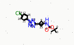 CC(C)(C)OC(=O)NC12CC(c3nnn(-c4ccc(Cl)cc4)n3)(C1)C2